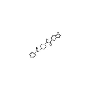 O=C(NC1CCC(CNc2ccccc2)CC1)c1ccc2occc2c1